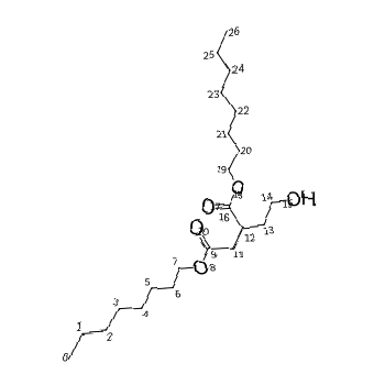 CCCCCCCCOC(=O)CC(CCO)C(=O)OCCCCCCCC